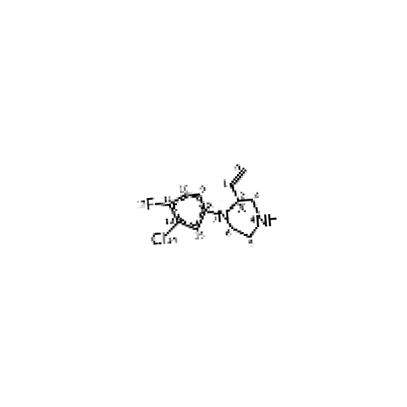 C=C[C@H]1CNCCN1c1ccc(F)c(Cl)c1